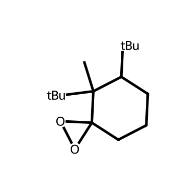 CC(C)(C)C1CCCC2(OO2)C1(C)C(C)(C)C